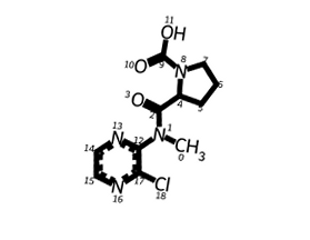 CN(C(=O)C1CCCN1C(=O)O)c1nccnc1Cl